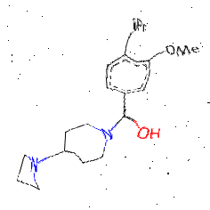 COc1cc(C(O)N2CCC(N3CCC3)CC2)ccc1C(C)C